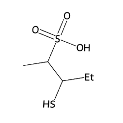 CCC(S)C(C)S(=O)(=O)O